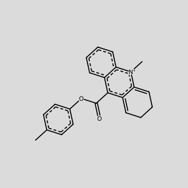 Cc1ccc(OC(=O)c2c3c([n+](C)c4ccccc24)=CCCC=3)cc1